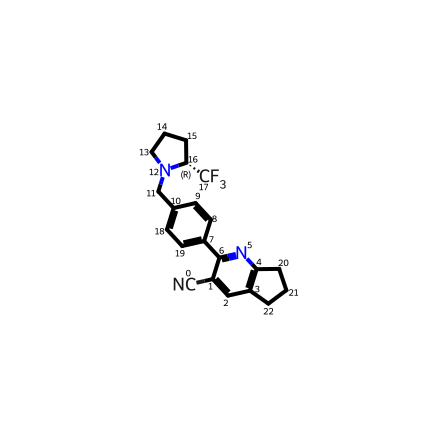 N#Cc1cc2c(nc1-c1ccc(CN3CCC[C@@H]3C(F)(F)F)cc1)CCC2